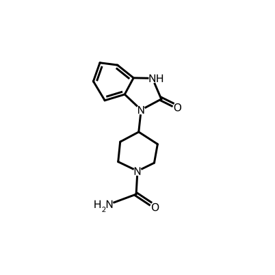 NC(=O)N1CCC(n2c(=O)[nH]c3ccccc32)CC1